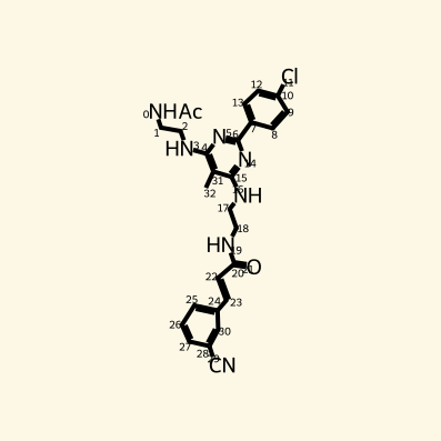 CC(=O)NCCNc1nc(-c2ccc(Cl)cc2)nc(NCCNC(=O)C=Cc2cccc(C#N)c2)c1C